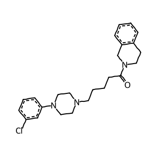 O=C(CCCCN1CCN(c2cccc(Cl)c2)CC1)N1CCc2ccccc2C1